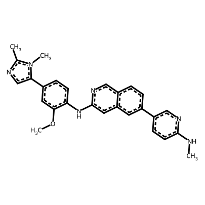 CNc1ccc(-c2ccc3cnc(Nc4ccc(-c5cnc(C)n5C)cc4OC)cc3c2)cn1